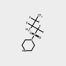 CC(F)(C(F)(F)C(F)(F)F)C(F)(F)S(=O)(=O)N1CCNCC1